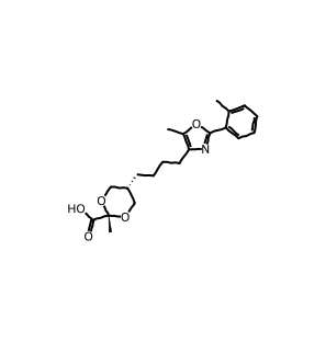 Cc1ccccc1-c1nc(CCCC[C@H]2CO[C@@](C)(C(=O)O)OC2)c(C)o1